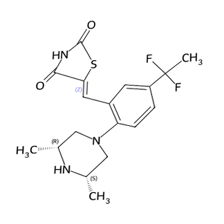 C[C@@H]1CN(c2ccc(C(C)(F)F)cc2/C=C2\SC(=O)NC2=O)C[C@H](C)N1